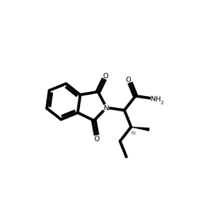 CC[C@H](C)C(C(N)=O)N1C(=O)c2ccccc2C1=O